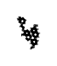 CCN(Cc1ccc(OCCN2CCCC(C)(C)C2)c(F)c1)C1C=C(OC)C=CC1[C@@H]1CCc2cc(O)ccc2C1